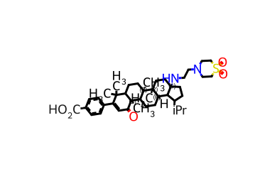 CC(C)C1CC[C@]2(NCCN3CCS(=O)(=O)CC3)CC[C@]3(C)[C@H](CCC4[C@@]5(C)C(=O)C=C(c6ccc(C(=O)O)cc6)C(C)(C)C5CC[C@]43C)C12